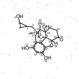 C[N@+]1(CC2CC2O)CC[C@]23c4c5c(O)cc(O)c4O[C@H]2C(=O)CC[C@@]3(O)[C@H]1C5